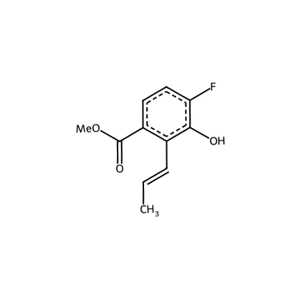 C/C=C/c1c(C(=O)OC)ccc(F)c1O